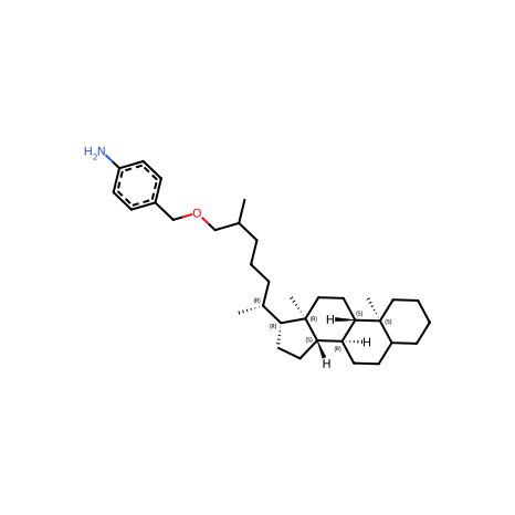 CC(CCC[C@@H](C)[C@H]1CC[C@H]2[C@@H]3CCC4CCCC[C@]4(C)[C@H]3CC[C@]12C)COCc1ccc(N)cc1